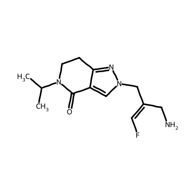 CC(C)N1CCc2nn(CC(=CF)CN)cc2C1=O